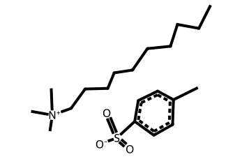 CCCCCCCCCC[N+](C)(C)C.Cc1ccc(S(=O)(=O)[O-])cc1